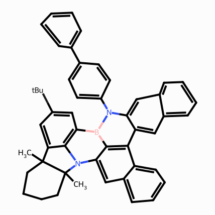 CC(C)(C)c1cc2c3c(c1)C1(C)CCCCC1(C)N3c1cc3ccccc3c3c1B2N(c1ccc(-c2ccccc2)cc1)c1cc2ccccc2cc1-3